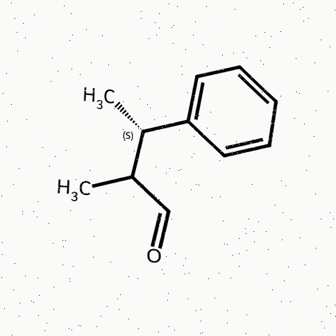 CC(C=O)[C@H](C)c1ccccc1